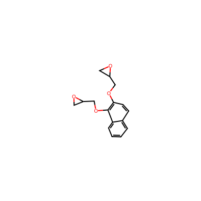 c1ccc2c(OCC3CO3)c(OCC3CO3)ccc2c1